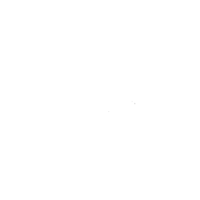 CCCCC(=O)C1CSCCN1